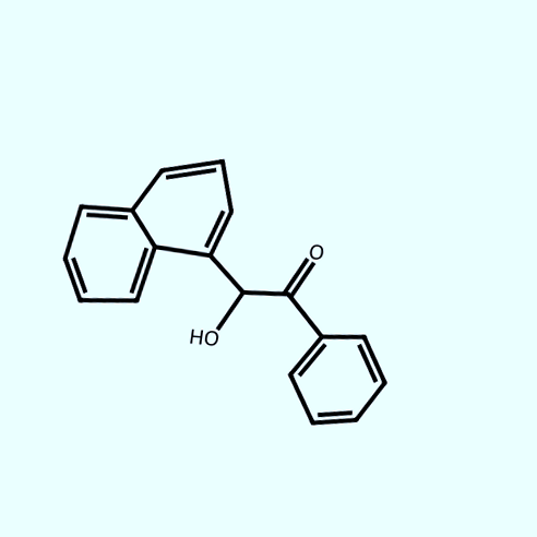 O=C(c1ccccc1)C(O)c1cccc2ccccc12